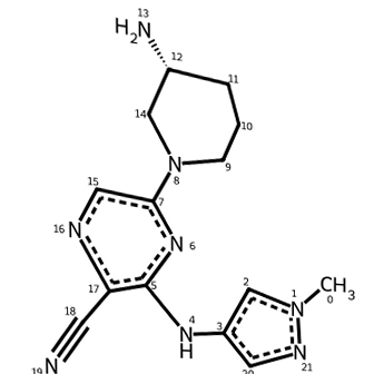 Cn1cc(Nc2nc(N3CCC[C@@H](N)C3)cnc2C#N)cn1